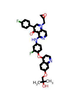 CC(C)(O)COc1ccc2c(Oc3ccc(Nc4nccc5c4c(=O)c(-c4ccc(F)cc4)cn5CC4CO4)cc3F)ccnc2c1